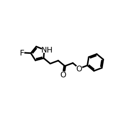 O=C(CCc1cc(F)c[nH]1)COc1ccccc1